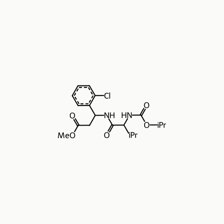 COC(=O)CC(NC(=O)C(NC(=O)OC(C)C)C(C)C)c1ccccc1Cl